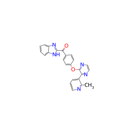 Cc1ncccc1-c1nccnc1Oc1ccc(C(=O)c2nc3ccccc3[nH]2)cc1